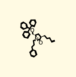 C=CCCC[C@@H]1C[C@@H](COC(c2ccccc2)(c2ccccc2)c2ccccc2)N(CCCc2ccccc2)C1=O